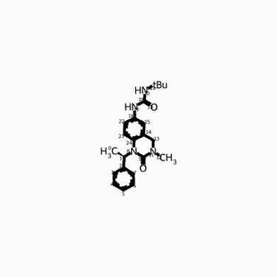 C[C@H](c1ccccc1)N1C(=O)N(C)Cc2cc(NC(=O)NC(C)(C)C)ccc21